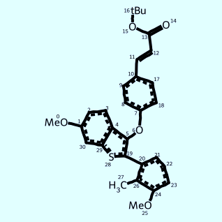 COc1ccc2c(Oc3ccc(C=CC(=O)OC(C)(C)C)cc3)c(-c3cccc(OC)c3C)sc2c1